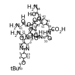 Cc1nc(-c2ccc(OCCC(C)(C)C)cc2)ncc1C(=O)N[C@@H](CCN)C(=O)N(C)[C@@H]1C(=O)N[C@@H](C)C(=O)NC(C(=O)O)Cc2ccc(OC[C@H](O)CN)c(c2)-c2cc1cc(OC[C@H](O)CN)c2O